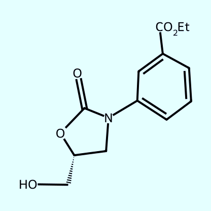 CCOC(=O)c1cccc(N2C[C@H](CO)OC2=O)c1